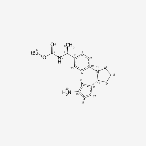 C[C@H](NC(=O)OC(C)(C)C)c1ccc(N2CCC[C@@H]2c2csc(N)n2)cc1